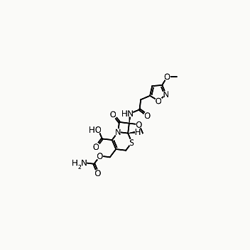 COc1cc(CC(=O)N[C@]2(OC)C(=O)N3C(C(=O)O)=C(COC(N)=O)CS[C@H]32)on1